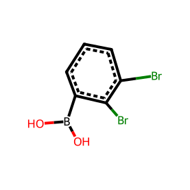 OB(O)c1cccc(Br)c1Br